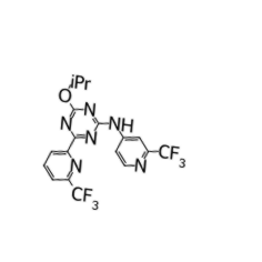 CC(C)Oc1nc(Nc2ccnc(C(F)(F)F)c2)nc(-c2cccc(C(F)(F)F)n2)n1